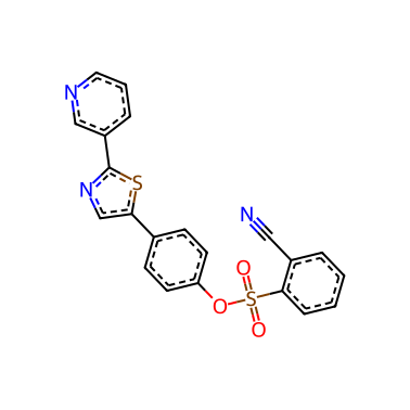 N#Cc1ccccc1S(=O)(=O)Oc1ccc(-c2cnc(-c3cccnc3)s2)cc1